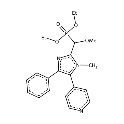 CCOP(=O)(OCC)C(OC)c1nc(-c2ccccc2)c(-c2ccncc2)n1C